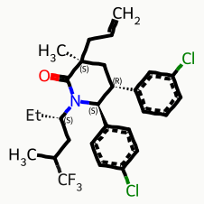 C=CC[C@@]1(C)C[C@H](c2cccc(Cl)c2)[C@@H](c2ccc(Cl)cc2)N([C@@H](CC)CC(C)C(F)(F)F)C1=O